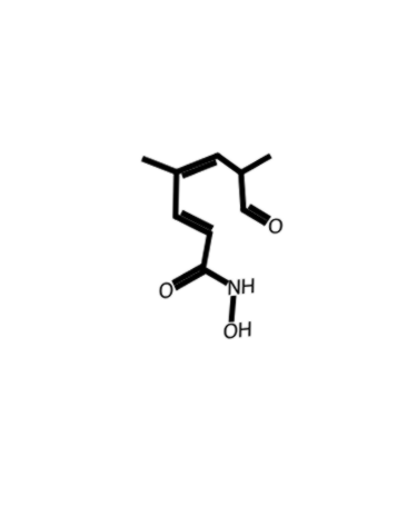 CC(C=CC(=O)NO)=CC(C)C=O